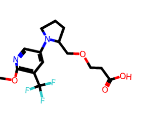 COc1ncc(N2CCCC2COCCC(=O)O)cc1C(F)(F)F